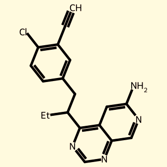 C#Cc1cc(CC(CC)c2ncnc3cnc(N)cc23)ccc1Cl